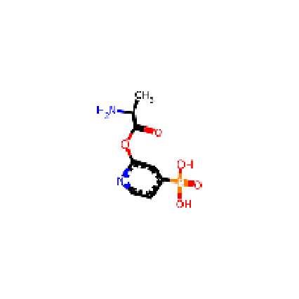 C[C@H](N)C(=O)Oc1cc(P(=O)(O)O)ccn1